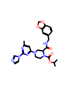 Cc1cc(N2CCN(C(=O)OC(C)C)C(C(=O)NCc3ccc4c(c3)OCO4)C2)nc(-n2ccnc2)n1